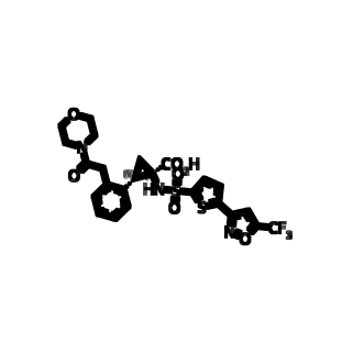 O=C(Cc1ccccc1[C@@H]1C[C@]1(NS(=O)(=O)c1ccc(-c2cc(C(F)(F)F)on2)s1)C(=O)O)N1CCOCC1